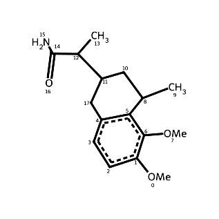 COc1ccc2c(c1OC)C(C)CC(C(C)C(N)=O)C2